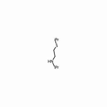 CC(C)NCCSC(C)C